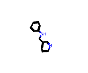 [c]1ccc(NCc2cccnc2)cc1